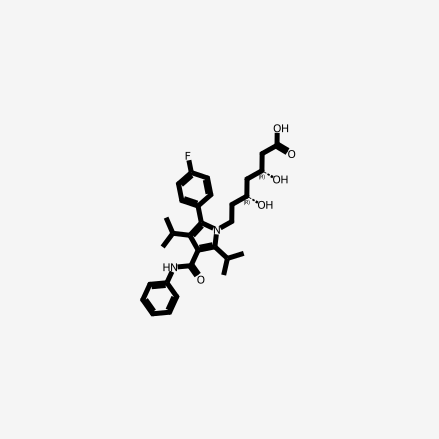 CC(C)c1c(C(=O)Nc2ccccc2)c(C(C)C)n(CC[C@@H](O)C[C@@H](O)CC(=O)O)c1-c1ccc(F)cc1